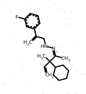 C=CC(C)(/C(C)=N\NCC(=C)c1cccc(F)c1)C1CCCCC1